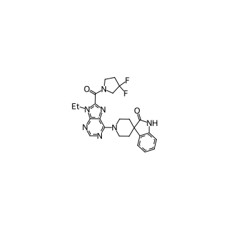 CCn1c(C(=O)N2CCC(F)(F)C2)nc2c(N3CCC4(CC3)C(=O)Nc3ccccc34)ncnc21